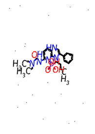 CCCC(N1C(c2ccccc2)=CNc2ccc(NC(=O)N(CC)CC)nc21)P(=O)(O)O